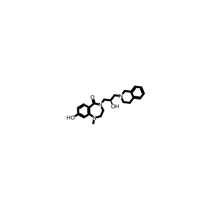 CN1CCN(C[C@H](O)CN2CCc3ccccc3C2)C(=O)c2ccc(O)cc21